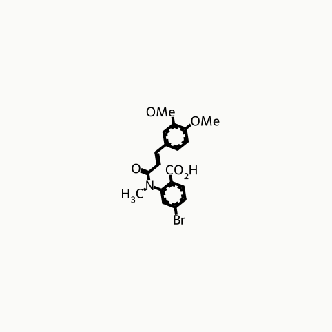 COc1ccc(/C=C/C(=O)N(C)c2cc(Br)ccc2C(=O)O)cc1OC